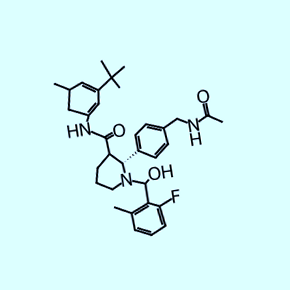 CC(=O)NCc1ccc([C@H]2C(C(=O)NC3=CC(C(C)(C)C)=CC(C)C3)CCCN2C(O)c2c(C)cccc2F)cc1